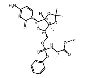 CC(C)OC(=O)[C@H](C)NP(=O)(OC[C@H]1O[C@@H](n2ccc(N)nc2=O)[C@@H]2OC(C)(C)O[C@@]12C)Oc1ccccc1